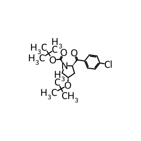 CC(C)(C)OC(=O)N1C[C@H](OC(C)(C)C)C[C@@H]1C(=O)c1ccc(Cl)cc1